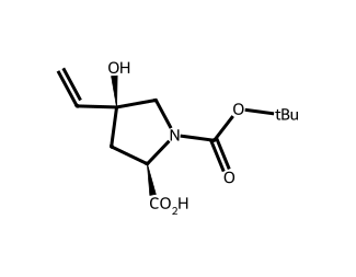 C=C[C@@]1(O)C[C@H](C(=O)O)N(C(=O)OC(C)(C)C)C1